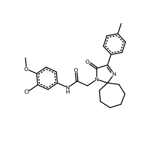 COc1ccc(NC(=O)CN2C(=O)C(c3ccc(C)cc3)=NC23CCCCCC3)cc1Cl